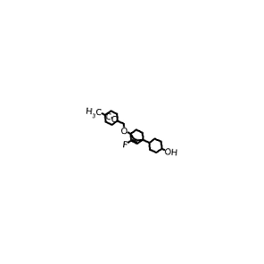 CC12CCC(COC34CCC(C5CCC(O)CC5)(C=C3F)CC4)(CC1)CC2